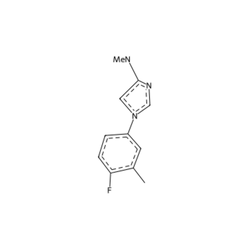 CNc1cn(-c2ccc(F)c(C)c2)cn1